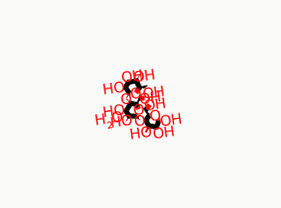 O.OC[C@H]1O[C@H](O[C@H]2[C@H](O)[C@@H](O)[C@@H](O[C@H]3[C@H](O)[C@@H](O)C(O)O[C@@H]3CO)O[C@@H]2CO)[C@H](O)[C@@H](O)[C@@H]1O